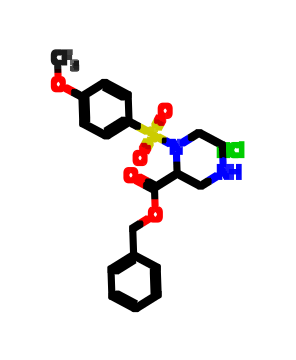 Cl.O=C(OCc1ccccc1)C1CNCCN1S(=O)(=O)c1ccc(OC(F)(F)F)cc1